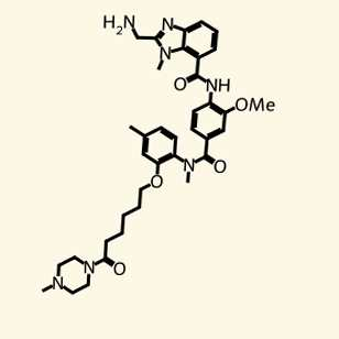 COc1cc(C(=O)N(C)c2ccc(C)cc2OCCCCCC(=O)N2CCN(C)CC2)ccc1NC(=O)c1cccc2nc(CN)n(C)c12